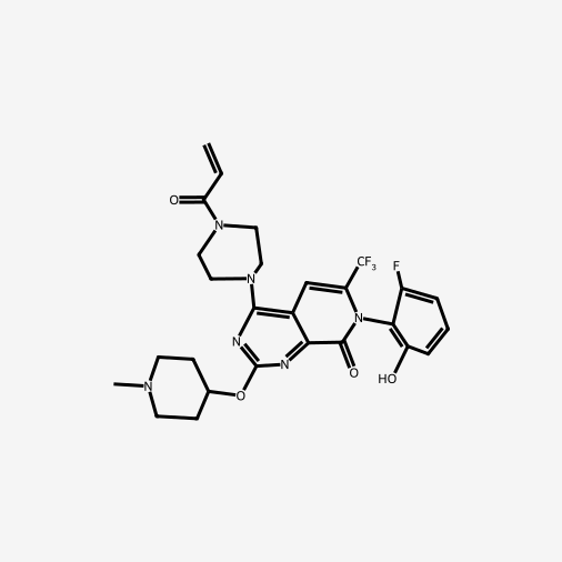 C=CC(=O)N1CCN(c2nc(OC3CCN(C)CC3)nc3c(=O)n(-c4c(O)cccc4F)c(C(F)(F)F)cc23)CC1